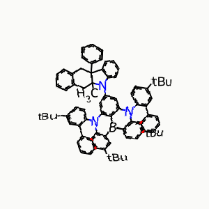 CC(C)(C)c1ccc2c(c1)B1c3ccc(C(C)(C)C)cc3N(c3ccc(C(C)(C)C)cc3-c3ccccc3)c3cc(N4c5ccccc5C5(c6ccccc6)Cc6ccccc6CC45C)cc(c31)N2c1ccc(C(C)(C)C)cc1-c1ccccc1